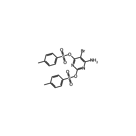 Cc1ccc(S(=O)(=O)Oc2nc(N)c(Br)c(OS(=O)(=O)c3ccc(C)cc3)n2)cc1